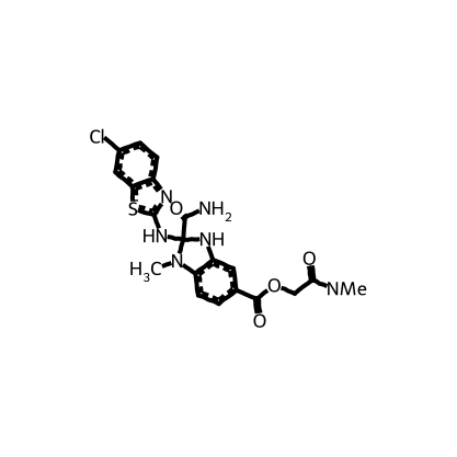 CNC(=O)COC(=O)c1ccc2c(c1)NC(Nc1nc3ccc(Cl)cc3s1)(C(N)=O)N2C